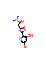 CN(C)C(=O)Cc1nc(-c2ncc(Br)cc2O)no1